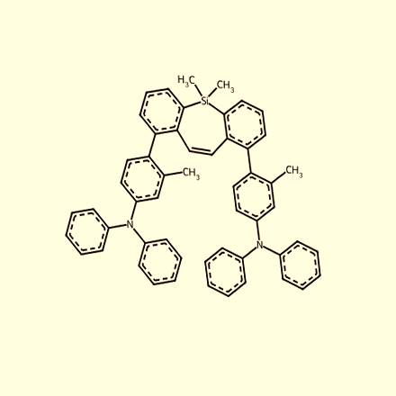 Cc1cc(N(c2ccccc2)c2ccccc2)ccc1-c1cccc2c1C=Cc1c(-c3ccc(N(c4ccccc4)c4ccccc4)cc3C)cccc1[Si]2(C)C